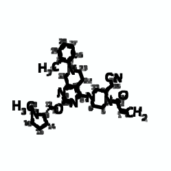 C=CC(=O)N1CCN(c2nc(OC[C@@H]3CCCN3C)nc3c2CCN(c2ccccc2C)C3)CC1CC#N